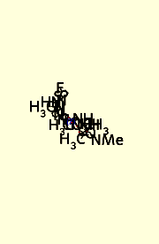 CNCCOC12CC3(C)CC4(CN/C(C)=C(\C=N)c5ccc(N6CCCc7c6nnc(Nc6nc8cccc(F)c8s6)c7C)nc5C(=O)O)CCC(C)(C1)C2(C3)C4